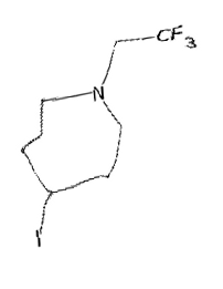 FC(F)(F)CN1CCC(I)CC1